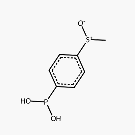 C[S+]([O-])c1ccc(P(O)O)cc1